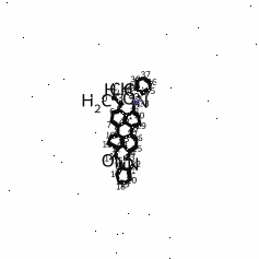 C=C(C)C(=O)c1ccc2c3ccc4c(=O)n5c6ccccc6nc5c5ccc(c6ccc(/C=N/c7ccccc7C)c1c26)c3c45